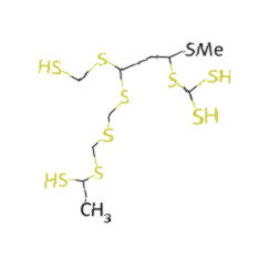 CSC(CC(SCS)SCSCSC(C)S)SC(S)S